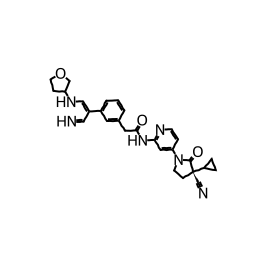 N#C[C@@]1(C2CC2)CCN(c2ccnc(NC(=O)Cc3cccc(/C(C=N)=C/NC4CCOC4)c3)c2)C1=O